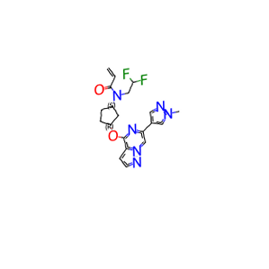 C=CC(=O)N(CC(F)F)[C@H]1CC[C@@H](Oc2nc(-c3cnn(C)c3)cn3nccc23)C1